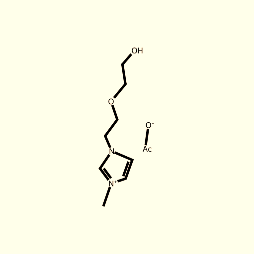 CC(=O)[O-].C[n+]1ccn(CCOCCO)c1